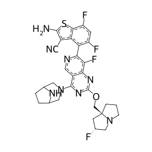 N#Cc1c(N)sc2c(F)cc(F)c(-c3ncc4c(N5CC6CCC(C5)N6)nc(OC[C@@]56CCCN5C[C@H](F)C6)nc4c3F)c12